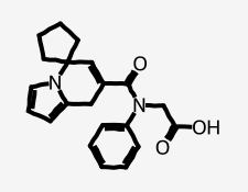 O=C(O)CN(C(=O)C1=CC2(CCCC2)n2cccc2C1)c1ccccc1